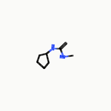 C=C(NC)NC1CCCC1